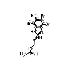 N=C(N)NCCNc1nc2c(Br)c(Br)c(Br)c(Br)c2[nH]1